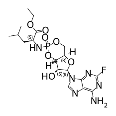 CCOC(=O)[C@H](CC(C)C)NP1(=O)OC[C@H]2O[C@@H](n3cnc4c(N)nc(F)nc43)[C@@H](O)[C@@H]2O1